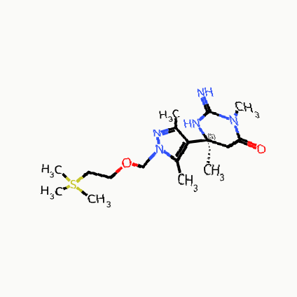 Cc1nn(COCCS(C)(C)C)c(C)c1[C@]1(C)CC(=O)N(C)C(=N)N1